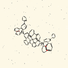 c1ccc(-c2ccc(N(c3ccccc3)c3ccc4c5c(ccc4c3)-c3c(c4ccc(N(c6ccccc6)c6ccc(-c7ccccc7)cc6-c6ccccc6)cc4c4ccccc34)C53c4ccccc4-c4ccccc43)c(-c3ccccc3)c2)cc1